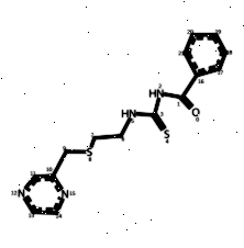 O=C(NC(=S)NCCSCc1cnccn1)c1ccccc1